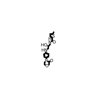 Cc1ccc(C(=O)NC[C@H](O)CNc2ccc(N3CCOCC3=O)cc2)s1